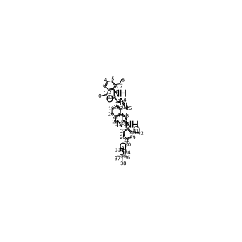 CCc1cccc(CC)c1NC(=O)c1nn(C)c2c1CCc1cnc(Nc3ccc(CO[Si](C)(C)C(C)(C)C)cc3OC)nc1-2